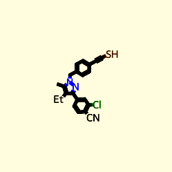 CCc1c(-c2ccc(C#N)c(Cl)c2)nn(Cc2ccc(C#CS)cc2)c1C